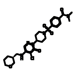 CN(C)C(=O)c1ccc(S(=O)(=O)N2CCC(n3ncc(NC[C@H]4CCCOC4)c(Cl)c3=O)CC2)cc1